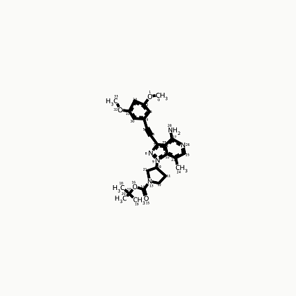 COc1cc(C#Cc2nn(C3CCN(C(=O)OC(C)(C)C)C3)c3c(C)cnc(N)c23)cc(OC)c1